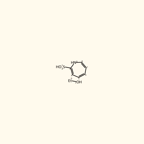 CCO.O=S(=O)(O)C1=CC=CC=CN1